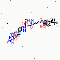 COC(=O)[C@H](CCC(=O)NCCCCCC(=O)N1C[C@H](O[Si](C)(C)C(C)(C)C)C[C@H]1CO)NC(=O)c1ccc(N(Cc2cnc3nc(N)[nH]c(=O)c3n2)C(=O)C(F)(F)F)cc1